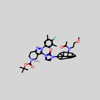 COCCN(C(C)=O)C12C3C4C35C1C13C2C1C4(n1ccn(-c2c4c(nn2-c2cc(C)c(F)c(C)c2)CCN(C(=O)OC(C)(C)C)[C@H]4C)c1=O)C53